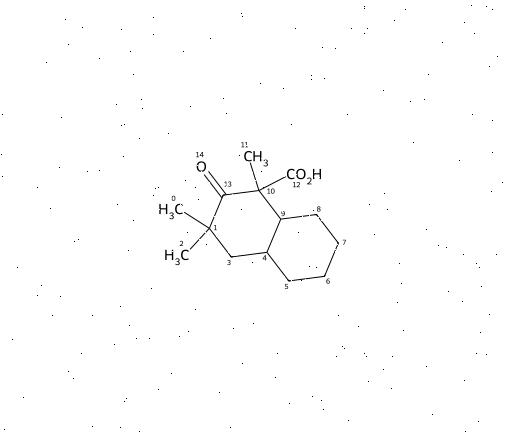 CC1(C)CC2CCCCC2C(C)(C(=O)O)C1=O